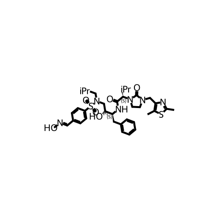 Cc1nc(CN2CCN([C@H](C(=O)N[C@@H](Cc3ccccc3)[C@H](O)CN(CC(C)C)S(=O)(=O)c3ccc(C=NO)cc3)C(C)C)C2=O)c(C)s1